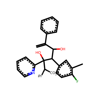 C=C(c1ccccc1)C(O)C(c1ccc(F)c(C)c1)C(O)(c1ccccn1)C(C(=O)O)C(C)C